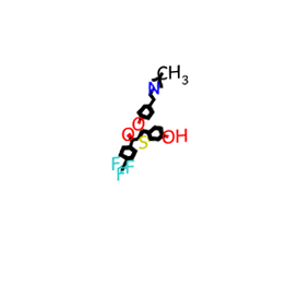 CC1CN(CCc2ccc(Oc3c(C(=O)c4ccc(C(F)(F)F)cc4)sc4cc(O)ccc34)cc2)C1